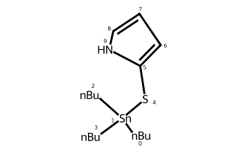 CCC[CH2][Sn]([CH2]CCC)([CH2]CCC)[S]c1ccc[nH]1